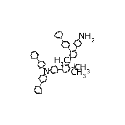 CC1(C)CC(C)(c2ccc(-c3ccc(N)cc3)c(-c3ccc(-c4ccccc4)cc3)c2)c2cc(-c3ccc(N(c4ccc(-c5ccccc5)cc4)c4ccc(-c5ccccc5)cc4)cc3)ccc21